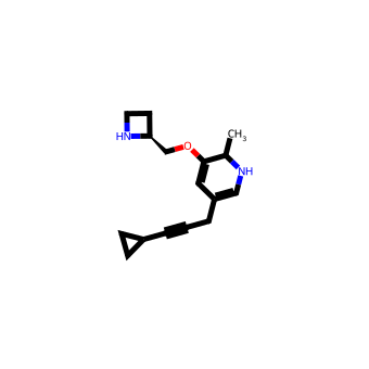 CC1NC=C(CC#CC2CC2)C=C1OC[C@@H]1CCN1